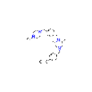 CC(=O)N1CCN(Cc2ccc(CN3C(C)CN(Cc4ccc(C=O)cc4)CC3C)cc2)CC1